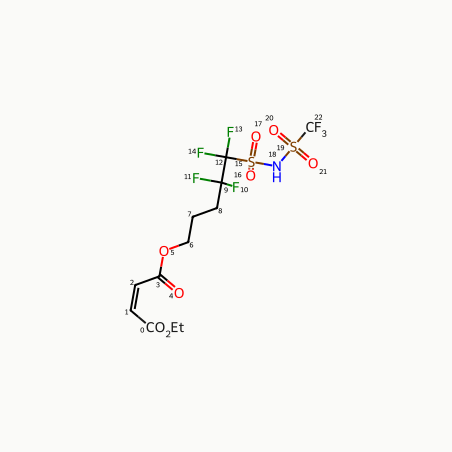 CCOC(=O)/C=C\C(=O)OCCCC(F)(F)C(F)(F)S(=O)(=O)NS(=O)(=O)C(F)(F)F